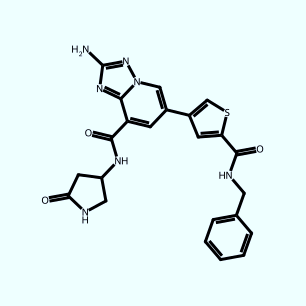 Nc1nc2c(C(=O)NC3CNC(=O)C3)cc(-c3csc(C(=O)NCc4ccccc4)c3)cn2n1